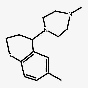 Cc1ccc2c(c1)C(N1CCN(C)CC1)CCS2